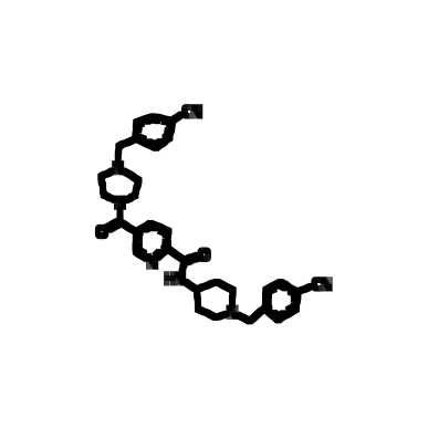 N#Cc1ccc(CN2CCC(NC(=O)c3ccc(C(=O)N4CCN(Cc5ccc(C#N)cc5)CC4)cn3)CC2)cc1